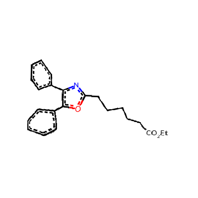 CCOC(=O)CCCCCc1nc(-c2ccccc2)c(-c2ccccc2)o1